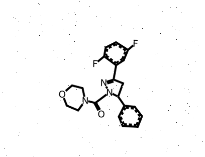 O=C(N1CCOCC1)N1N=C(c2cc(F)ccc2F)CC1c1c[c]ccc1